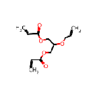 C=CCOC(COC(=O)C=C)COC(=O)C=C